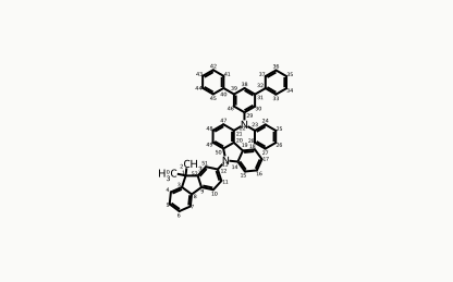 CC1(C)c2ccccc2-c2ccc(-n3c4ccccc4c4c(N(c5ccccc5)c5cc(-c6ccccc6)cc(-c6ccccc6)c5)cccc43)cc21